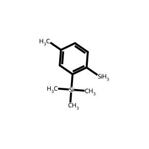 Cc1ccc([SiH3])c([Si](C)(C)C)c1